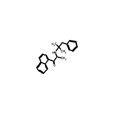 CC(NC(C)(C)Cc1ccccc1)C(=O)c1cccc2ccccc12